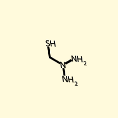 NN(N)CS